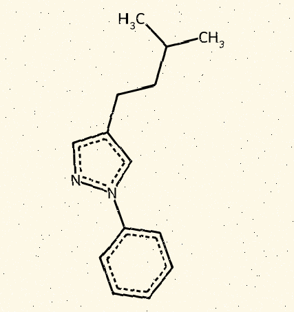 CC(C)CCc1cnn(-c2ccccc2)c1